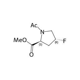 COC(=O)[C@@H]1C[C@@H](F)CN1C(C)=O